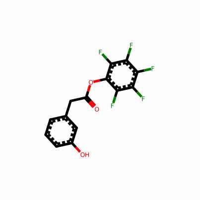 O=C(Cc1cccc(O)c1)Oc1c(F)c(F)c(F)c(F)c1F